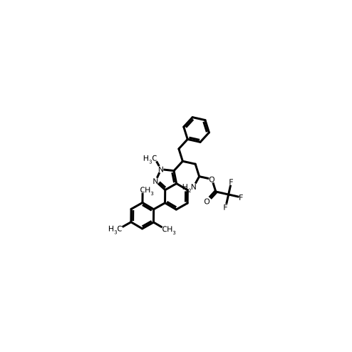 Cc1cc(C)c(-c2cccc3c(C(Cc4ccccc4)CC(N)OC(=O)C(F)(F)F)n(C)nc23)c(C)c1